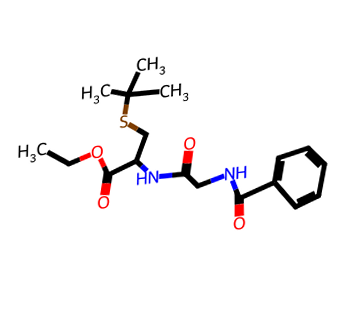 CCOC(=O)C(CSC(C)(C)C)NC(=O)CNC(=O)c1ccccc1